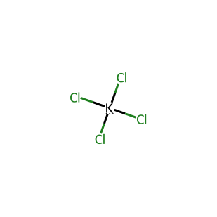 [Cl][K]([Cl])([Cl])[Cl]